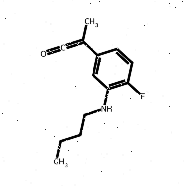 CCCCNc1cc(C(C)=C=O)ccc1F